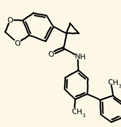 Cc1ccccc1-c1cc(NC(=O)C2(c3ccc4c(c3)OCO4)CC2)ccc1C